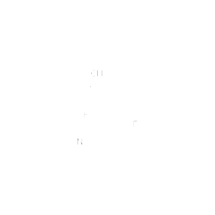 COc1ccc(F)c(CC#N)c1F